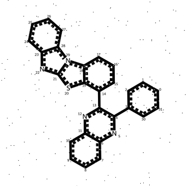 c1ccc(-c2nc3ccccc3nc2-c2cccc3c2sc2nc4ccccc4n23)cc1